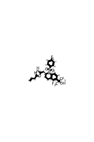 C=CCC1=NNC(C[C@@H]2CCc3cc(C(O)(C(F)(F)F)C(F)(F)F)ccc3N2S(=O)(=O)c2ccc(F)cc2)O1